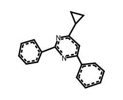 c1ccc(-c2cc(C3CC3)nc(-c3ccccc3)n2)cc1